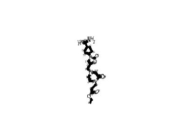 CCOC(=O)CCN1CCN(CC2CN(c3ccc(C(=N)N)cc3)C(=O)O2)CC1=O